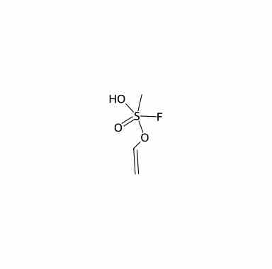 C=COS(C)(=O)(O)F